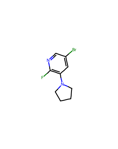 Fc1ncc(Br)cc1N1CCCC1